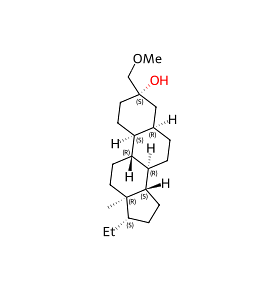 CC[C@H]1CC[C@H]2[C@@H]3CC[C@@H]4C[C@](O)(COC)CC[C@@H]4[C@H]3CC[C@]12C